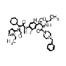 CCC(=O)N[C@@H](C(=O)N1CCN(Cc2ccccc2)CC1)[C@@H](C)c1ccc(NC(=O)[C@H](C2CCCCC2)N(C=O)c2ccnn2CC)c(F)c1